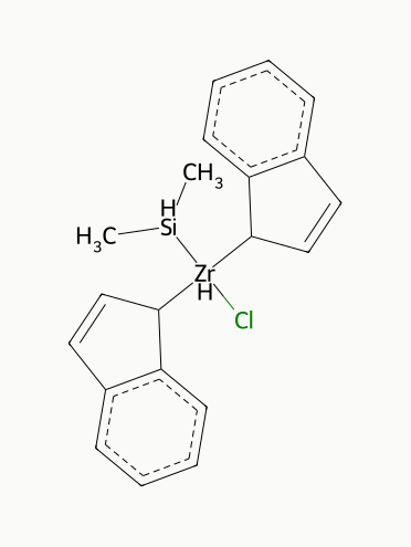 C[SiH](C)[ZrH]([Cl])([CH]1C=Cc2ccccc21)[CH]1C=Cc2ccccc21